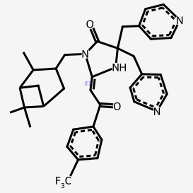 CC1C(CN2C(=O)C(Cc3ccncc3)(Cc3ccncc3)N/C2=C\C(=O)c2ccc(C(F)(F)F)cc2)CC2CC1C2(C)C